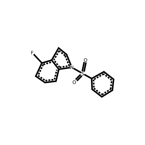 O=S(=O)(c1ccccc1)n1ccc2c(F)cccc21